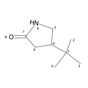 CC(C)(C)C1CNC(=O)C1